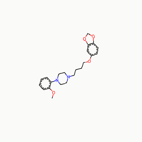 COc1ccccc1N1CCN(CCCCOc2ccc3c(c2)OCO3)CC1